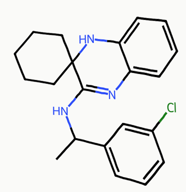 CC(NC1=Nc2ccccc2NC12CCCCC2)c1cccc(Cl)c1